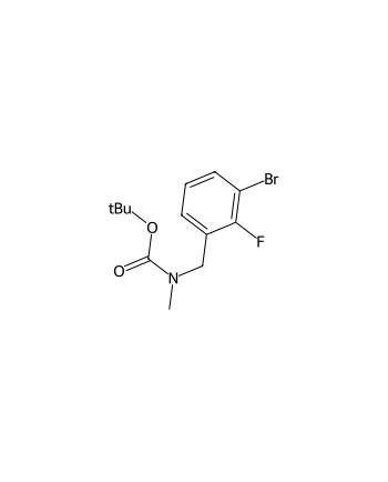 CN(Cc1cccc(Br)c1F)C(=O)OC(C)(C)C